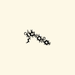 CCCCN1CC(=O)N(C)c2c1cc(NC[C@H]1CC[C@H](C(=O)Nc3ccc(F)cc3)CC1)nc2C